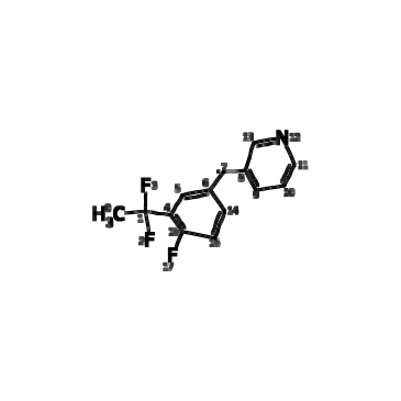 CC(F)(F)c1cc([CH]c2cccnc2)ccc1F